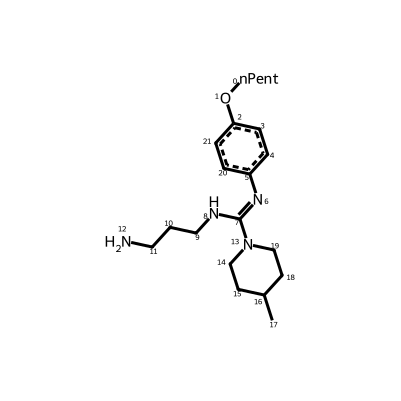 CCCCCOc1ccc(/N=C(\NCCCN)N2CCC(C)CC2)cc1